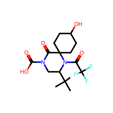 CC(C)(C)C1CN(C(=O)O)C(=O)C2(CCC(O)CC2)N1C(=O)C(F)(F)F